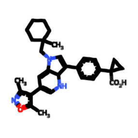 Cc1noc(C)c1C1=CNC2C(c3ccc(C4(C(=O)O)CC4)cc3)=CN(CC3(C)CCCCC3)C2=C1